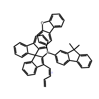 C=C/C=C\C1=C(N(c2ccc3c(c2)C(C)(C)c2ccccc2-3)c2ccc3oc4ccccc4c3c2)C2(c3ccccc31)c1ccccc1-c1ccccc12